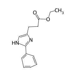 CCOC(=O)CCc1c[nH]c(-c2ccccc2)n1